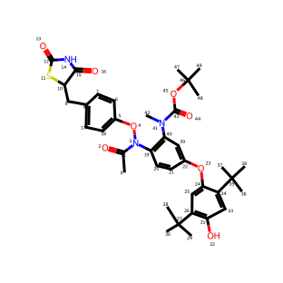 CC(=O)N(Oc1ccc(CC2SC(=O)NC2=O)cc1)c1ccc(Oc2cc(C(C)(C)C)c(O)cc2C(C)(C)C)cc1N(C)C(=O)OC(C)(C)C